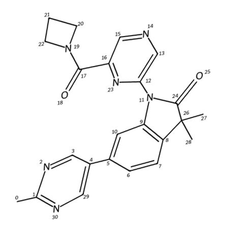 Cc1ncc(-c2ccc3c(c2)N(c2cncc(C(=O)N4CCC4)n2)C(=O)C3(C)C)cn1